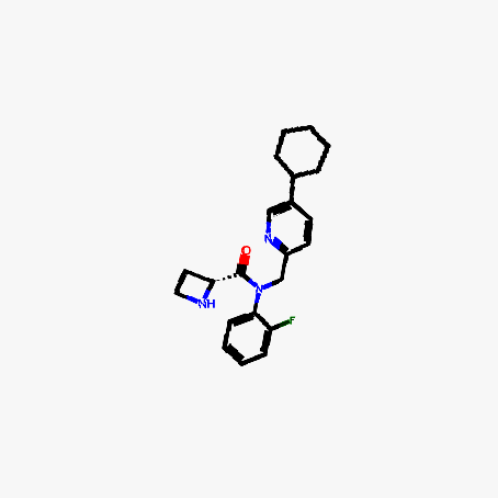 O=C([C@H]1CCN1)N(Cc1ccc(C2CCCCC2)cn1)c1ccccc1F